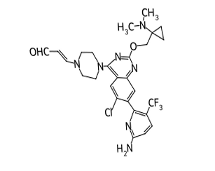 CN(C)C1(COc2nc(N3CCN(C=CC=O)CC3)c3cc(Cl)c(-c4nc(N)ccc4C(F)(F)F)cc3n2)CC1